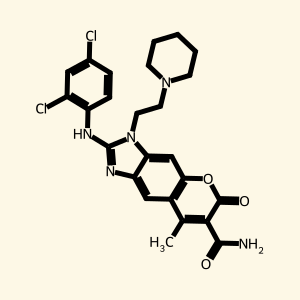 Cc1c(C(N)=O)c(=O)oc2cc3c(cc12)nc(Nc1ccc(Cl)cc1Cl)n3CCN1CCCCC1